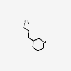 NCCCC1CNCCS1